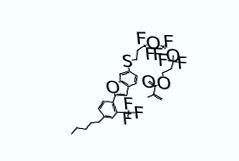 C=C(C)C(=O)OCCC(F)(F)OC(F)(F)OC(F)(F)CCSc1ccc2cc(-c3ccc(CCCCC)cc3C(F)(F)F)oc2c1